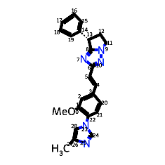 COc1cc(/C=C/c2nc3n(n2)CC[C@H]3c2ccccc2)ccc1-n1cnc(C)c1